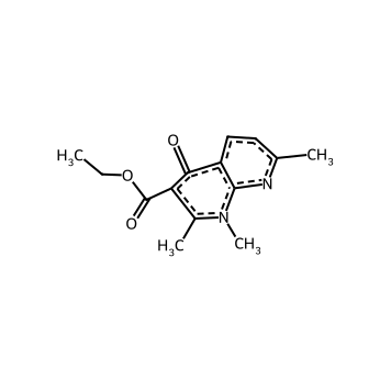 CCOC(=O)c1c(C)n(C)c2nc(C)ccc2c1=O